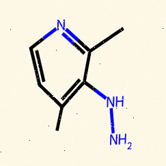 Cc1ccnc(C)c1NN